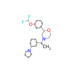 C=C(c1cccc(-n2cccc2)c1)N1CCOC(c2cccc(OC(F)F)c2)C1